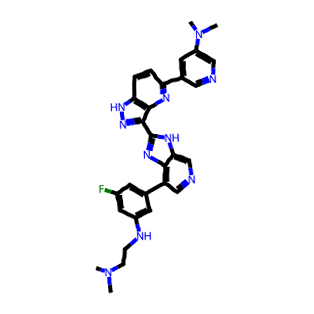 CN(C)CCNc1cc(F)cc(-c2cncc3[nH]c(-c4n[nH]c5ccc(-c6cncc(N(C)C)c6)nc45)nc23)c1